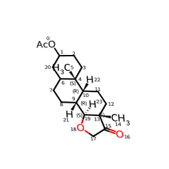 CC(=O)OC1CC[C@@]2(C)C(CC[C@@H]3[C@H]2CC[C@]2(C)C(=O)CO[C@@H]32)C1